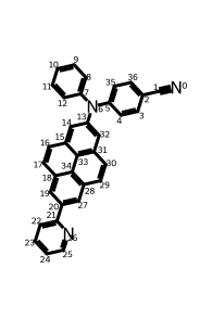 N#Cc1ccc(N(c2ccccc2)c2cc3ccc4cc(-c5ccccn5)cc5ccc(c2)c3c45)cc1